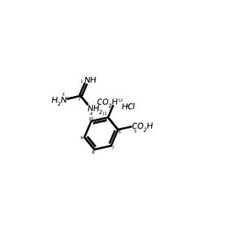 Cl.N=C(N)N.O=C(O)c1ccccc1C(=O)O